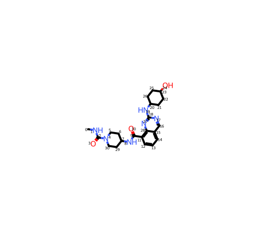 CNC(=O)N1CCC(NC(=O)c2cccc3cnc(NC4CCC(O)CC4)nc23)CC1